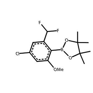 COc1cc(Cl)cc(C(F)F)c1B1OC(C)(C)C(C)(C)O1